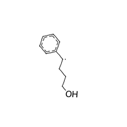 OCCC[CH]c1ccccc1